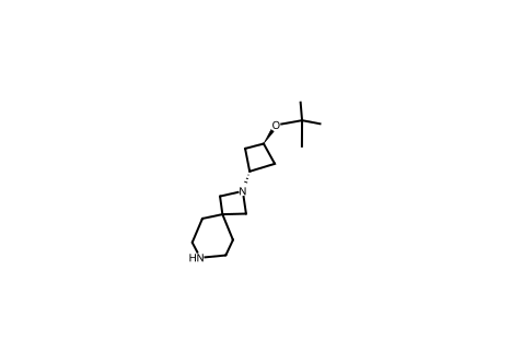 CC(C)(C)O[C@H]1C[C@H](N2CC3(CCNCC3)C2)C1